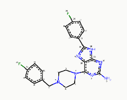 Nc1nc(N2CCN(Cc3ccc(F)cc3)CC2)c2nc(-c3ccc(F)cc3)[nH]c2n1